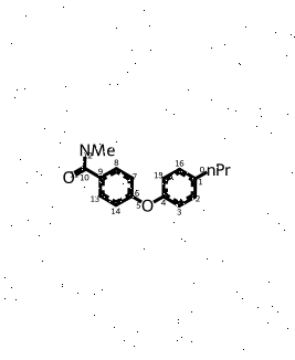 CCCc1ccc(Oc2ccc(C(=O)NC)cc2)cc1